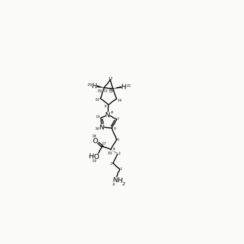 NCCC[C@@H](Cc1cn(C2C[C@@H]3C[C@@H]3C2)cn1)C(=O)O